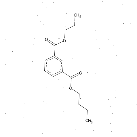 CCCCOC(=O)c1cccc(C(=O)OCCC)c1